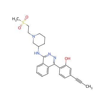 CC#Cc1ccc(-c2nnc(NC3CCCN(CCS(C)(=O)=O)C3)c3ccccc23)c(O)c1